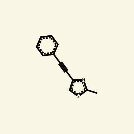 Cc1nc(C#Cc2ccccc2)cs1